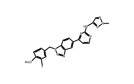 COc1ccc(Cn2nnc3cc(-c4ccnc(Nc5cnn(C)n5)n4)ccc32)cc1F